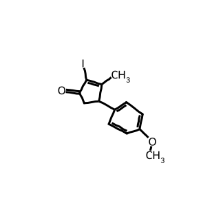 COc1ccc(C2CC(=O)C(I)=C2C)cc1